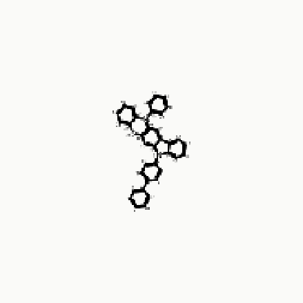 c1ccc(-c2ccc(-n3c4ccccc4c4cc5c(cc43)Sc3ccccc3N5c3ccccc3)cc2)cc1